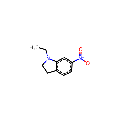 CCN1CCc2ccc([N+](=O)[O-])cc21